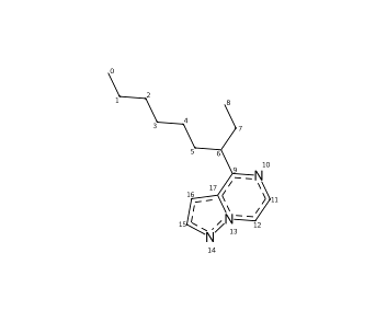 CCCCCCC(CC)c1nccn2nccc12